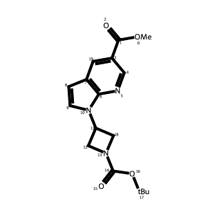 COC(=O)c1cnc2c(ccn2C2CN(C(=O)OC(C)(C)C)C2)c1